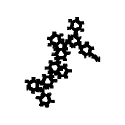 N#Cc1ccc(-c2cc(-c3ccccc3)nc(-n3c4ccccc4c4cc(-c5ccc(-c6ccc7c(c6)c6ccncc6n7-c6ccccc6)c6ccccc56)ccc43)n2)cc1